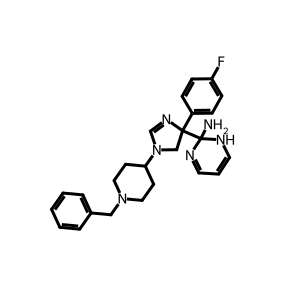 NC1(C2(c3ccc(F)cc3)CN(C3CCN(Cc4ccccc4)CC3)C=N2)N=CC=CN1